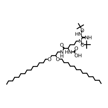 CCCCCCCCCCCCCCOCC(CNC(=O)C(CCCN(OC(C)(C)C)C(=N)NOC(C)(C)C)NC(=O)O)OCCCCCCCCCCCCCC